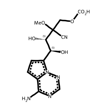 COC(C#N)(COC(=O)O)[C@@H](O)[C@@H](O)c1ccc2c(N)ncnn12